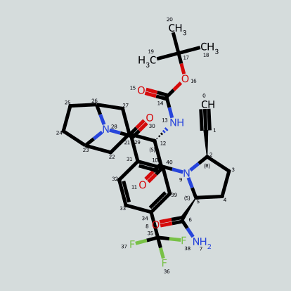 C#C[C@H]1CC[C@@H](C(N)=O)N1C(=O)[C@@H](NC(=O)OC(C)(C)C)C1CC2CCC(C1)N2C(=O)c1ccc(C(F)(F)F)cc1